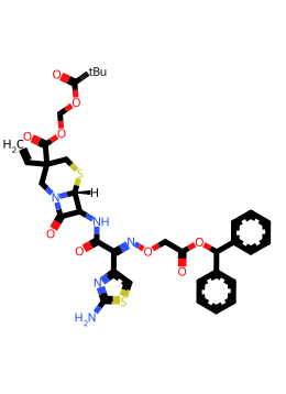 C=CC1(C(=O)OCOC(=O)C(C)(C)C)CS[C@@H]2C(NC(=O)C(=NOCC(=O)OC(c3ccccc3)c3ccccc3)c3csc(N)n3)C(=O)N2C1